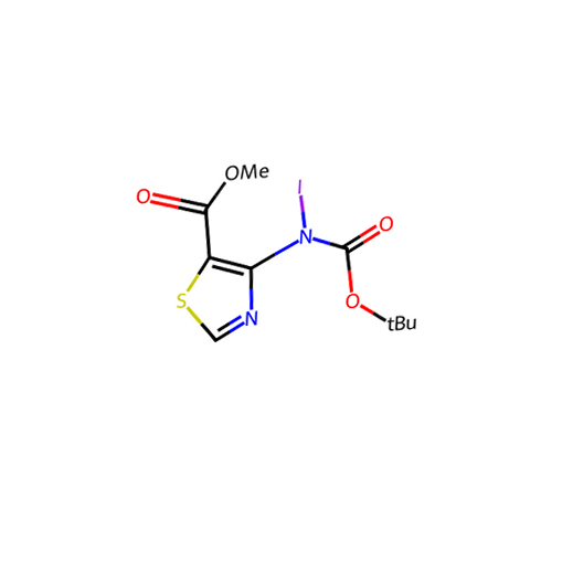 COC(=O)c1scnc1N(I)C(=O)OC(C)(C)C